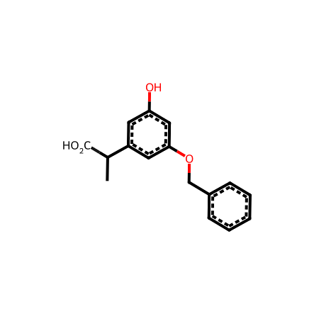 CC(C(=O)O)c1cc(O)cc(OCc2ccccc2)c1